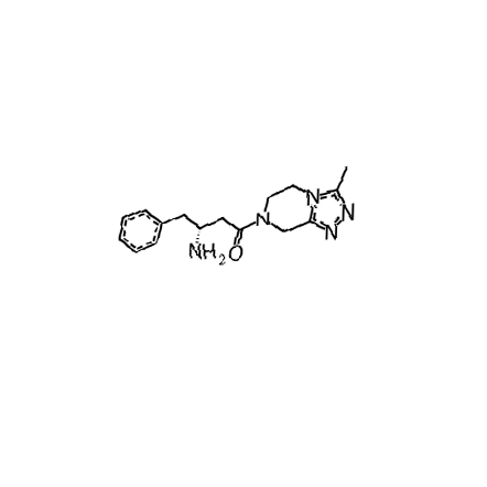 Cc1nnc2n1CCN(C(=O)C[C@H](N)Cc1ccccc1)C2